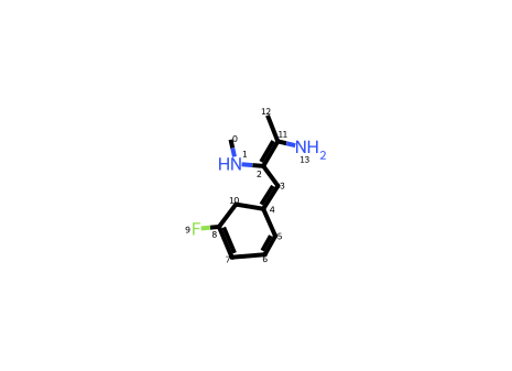 CNC(/C=C1/C=CC=C(F)C1)=C(\C)N